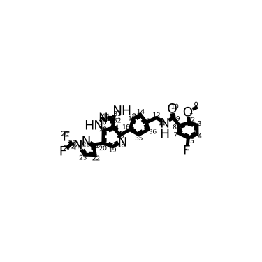 COc1ccc(F)cc1C(=O)NCc1ccc(-c2ncc(-c3ccn(C(F)F)n3)c3[nH]nc(N)c23)cc1